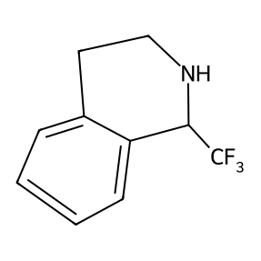 FC(F)(F)C1NCCc2ccccc21